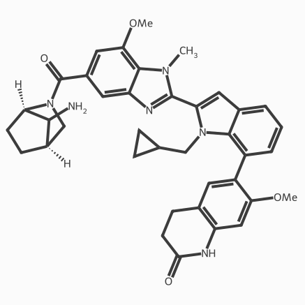 COc1cc2c(cc1-c1cccc3cc(-c4nc5cc(C(=O)N6C[C@H]7CC[C@@H]6C7N)cc(OC)c5n4C)n(CC4CC4)c13)CCC(=O)N2